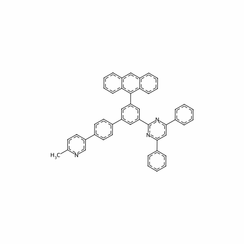 Cc1ccc(-c2ccc(-c3cc(-c4nc(-c5ccccc5)cc(-c5ccccc5)n4)cc(-c4c5ccccc5cc5ccccc45)c3)cc2)cn1